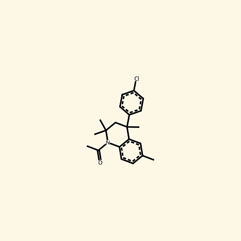 CC(=O)N1c2ccc(C)cc2C(C)(c2ccc(Cl)cc2)CC1(C)C